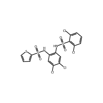 O=S(=O)(Nc1cc(Cl)c(Cl)cc1NS(=O)(=O)c1c(Cl)cccc1Cl)c1cccs1